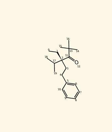 CC[C@](CCc1ccccc1)(C(=O)C(C)(C)C)C(C)C